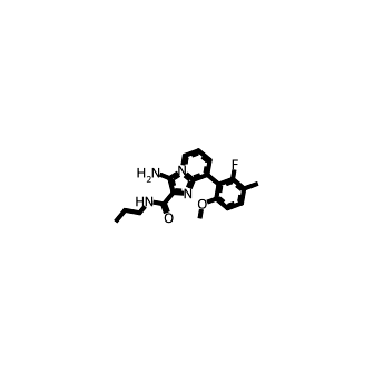 CCCNC(=O)c1nc2c(-c3c(OC)ccc(C)c3F)cccn2c1N